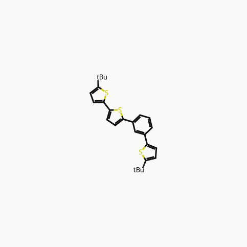 CC(C)(C)c1ccc(-c2cccc(-c3ccc(-c4ccc(C(C)(C)C)s4)s3)c2)s1